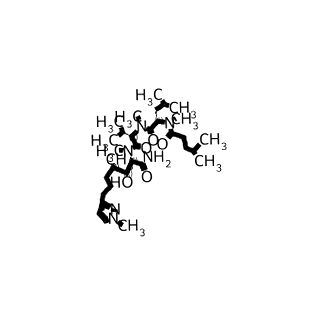 CC(C)CCC(=O)N(C)[C@@H](CC(C)C)C(=O)N(C)[C@H](C(=O)N(C)[C@H](C(N)=O)[C@H](O)[C@H](C)CCCc1ccn(C)n1)C(C)C